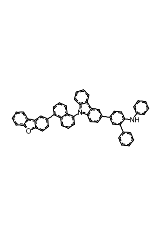 c1ccc(Nc2ccc(-c3ccc4c(c3)c3ccccc3n4-c3cccc4c(-c5ccc6oc7ccccc7c6c5)cccc34)cc2-c2ccccc2)cc1